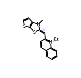 CC[n+]1c(/C=C2\Sc3sccc3N2C)ccc2ccccc21